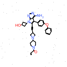 C=CC(=O)N1CCC(N2CC(C#Cc3c(-c4ccc(Oc5ccccc5)cc4)c4c(N)ncnc4n3[C@H]3C[C@H](O)C3)C2)CC1